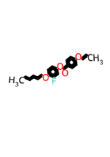 CCCCCCOc1ccc(OC(=O)c2ccc(OCCC)cc2)cc1F